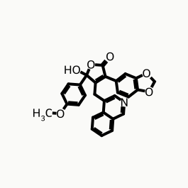 COc1ccc(C2(O)OC(=O)C(c3ccc4c(c3)OCO4)=C2Cc2cncc3ccccc23)cc1